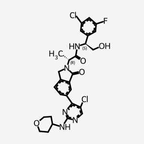 C[C@H](C(=O)N[C@H](CO)c1cc(F)cc(Cl)c1)N1Cc2ccc(-c3nc(NC4CCOCC4)ncc3Cl)cc2C1=O